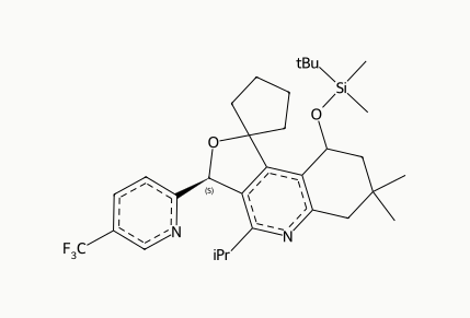 CC(C)c1nc2c(c3c1[C@@H](c1ccc(C(F)(F)F)cn1)OC31CCCC1)C(O[Si](C)(C)C(C)(C)C)CC(C)(C)C2